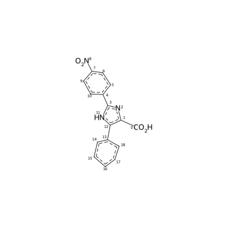 O=C(O)c1nc(-c2ccc([N+](=O)[O-])cc2)[nH]c1-c1ccccc1